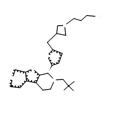 COCCCN1CC(Cc2ccc([C@@H]3c4[nH]c5ccccc5c4C[C@@H](C)N3CC(C)(C)F)s2)C1